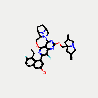 C=C1CN2CC(=C)CC2(COc2nc3c4c(nc(-c5cc(O)cc6ccc(F)c(CC)c56)c(F)c4n2)OCC2C4CCC(CN32)N4)C1